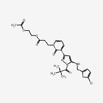 CC(=O)OCCOC(=O)CCn1cccc(-c2cc(NCc3ccc(Cl)s3)n(C(=O)C(C)(C)C)n2)c1=O